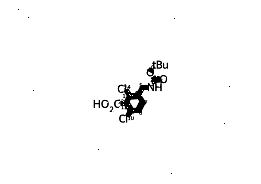 CC(C)(C)OC(=O)NCc1ccc(Cl)c(C(=O)O)c1Cl